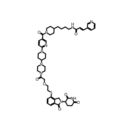 O=C(/C=C/c1cccnc1)NCCCCC1CCN(C(=O)c2ccc(N3CCC(N4CCN(C(=O)COCCSc5cccc6c5CN(C5CCC(=O)NC5=O)C6=O)CC4)CC3)nc2)CC1